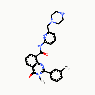 Cn1c(-c2cccc(C(F)(F)F)c2)nc2c(C(=O)Nc3cccc(CN4CCNCC4)n3)cccc2c1=O